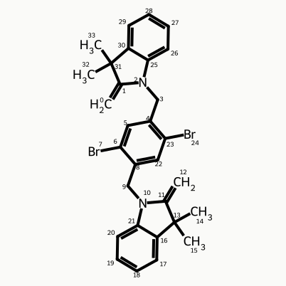 C=C1N(Cc2cc(Br)c(CN3C(=C)C(C)(C)c4ccccc43)cc2Br)c2ccccc2C1(C)C